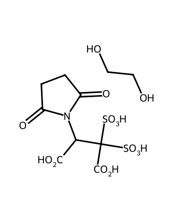 O=C(O)C(N1C(=O)CCC1=O)C(C(=O)O)(S(=O)(=O)O)S(=O)(=O)O.OCCO